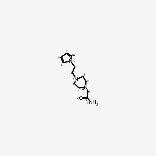 NC(=O)CN1CCN(CCn2cccc2)CC1